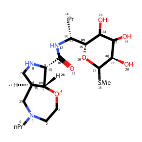 CCCN1CCO[C@@H]2[C@H](CN[C@@H]2C(=O)N[C@H](C(C)C)[C@H]2OC(SC)[C@H](O)C(O)C2O)C1